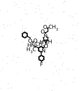 CC(=O)CC(=O)N1C[C@@H]2[C@H](C1)[C@H]2Oc1cc(C(C)(C)NC(=O)OCc2ccccc2)cc(-c2ccc(F)cc2)n1